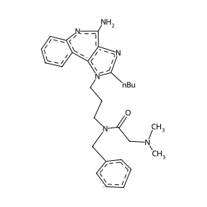 CCCCc1nc2c(N)nc3ccccc3c2n1CCCN(Cc1c[c]ccc1)C(=O)CN(C)C